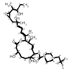 CCC(O)C(C)C1OC1CC(C)(O)/C=C/C=C(\C)C1OC(=O)CC(O)CCC(C)(O)C(OC(=O)N2CCN(CC(F)(F)F)CC2)/C=C/C1C